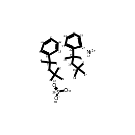 CC(C)(C)CC(C)(C)c1ccccc1.CC(C)(C)CC(C)(C)c1ccccc1.O=S([O-])[O-].[Ni+2]